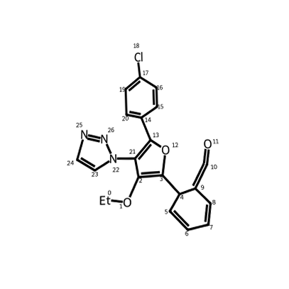 CCOc1c(C2C=CC=CC2=C=O)oc(-c2ccc(Cl)cc2)c1-n1ccnn1